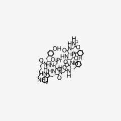 CC(C)C[C@H](NC(=O)[C@H](Cc1ccc(O)cc1)NC(=O)[C@@H](C)CCCCN)C(=O)N[C@@H](Cc1c[nH]c2ccccc12)C(=O)NCC(=O)N[C@@H](Cc1ccccc1)C(=O)N[C@H](C(=O)N[C@H](C(=O)N[C@@H](Cc1ccccc1)C(N)=O)C(C)C)[C@@H](C)O